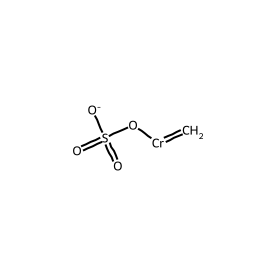 [CH2]=[Cr][O]S(=O)(=O)[O-]